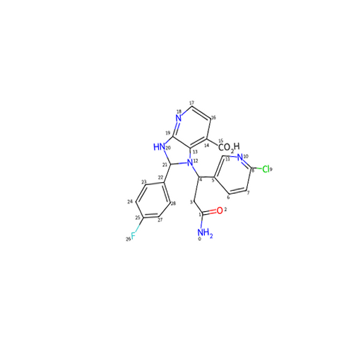 NC(=O)CC(c1ccc(Cl)nc1)N1c2c(C(=O)O)ccnc2NC1c1ccc(F)cc1